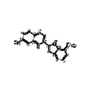 O=Cc1cccc2cc(-c3ccc4ccc(Cl)cc4n3)oc12